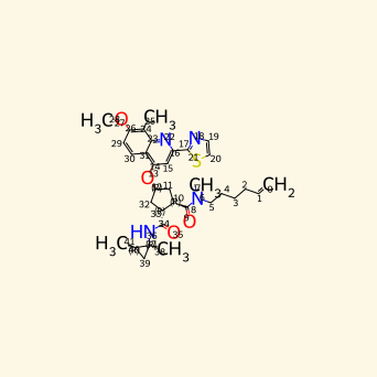 C=CCCCCN(C)C(=O)[C@@H]1C[C@H](Oc2cc(-c3nccs3)nc3c(C)c(OC)ccc23)C[C@H]1C(=O)N[C@]1(C)C[C@H]1C